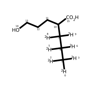 [2H]C([2H])([2H])C([2H])([2H])C([2H])([2H])C(CCCO)C(=O)O